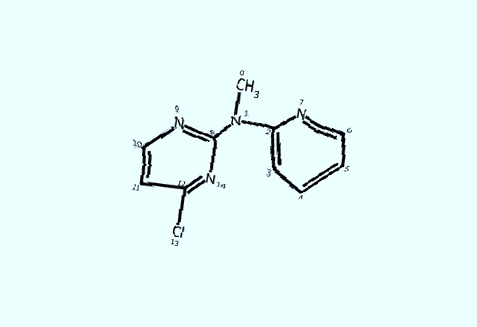 CN(c1ccccn1)c1nccc(Cl)n1